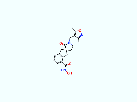 Cc1noc(C)c1CN1CCC2(Cc3cccc(C(=O)NO)c3C2)C1=O